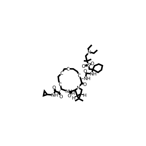 CCN(CC)CC(C)(C)S(=O)(=O)CC1(NC(=O)N[C@H]2CCCCCCCCC[C@@H](C(=O)C(=O)NC3CC3)NC(=O)[C@@H]3[C@@H]4[C@H](CN3C2=O)C4(C)C)CCCCC1